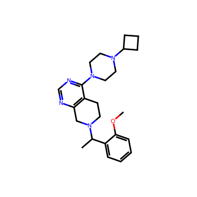 COc1ccccc1C(C)N1CCc2c(ncnc2N2CCN(C3CCC3)CC2)C1